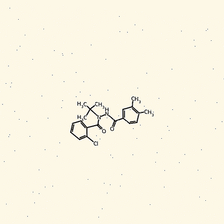 Cc1ccc(C(=O)NN(C(=O)c2ccccc2Cl)C(C)(C)C)cc1C